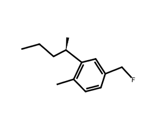 CCC[C@@H](C)c1cc(CF)ccc1C